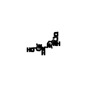 Cc1nc(NCCN2CCc3c([nH]c4ccc(Cl)cc34)C2C)ccc1CO